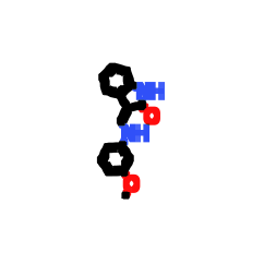 COc1cccc(N/C=C2\C(=O)Nc3ccccc32)c1